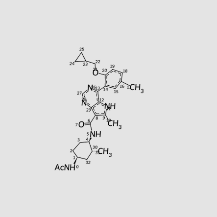 CC(=O)N[C@H]1CC[C@@H](NC(=O)c2c(C)[nH]c3c(-c4cc(C)ccc4OCC4CC4)ncnc23)[C@H](C)C1